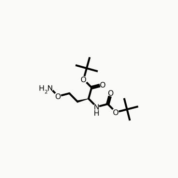 CC(C)(C)OC(=O)N[C@@H](CCON)C(=O)OC(C)(C)C